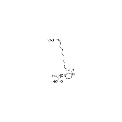 C1=NCCN1.CCCCCCCC/C=C\CCCCCCCC(=O)O.O=P(O)(O)O